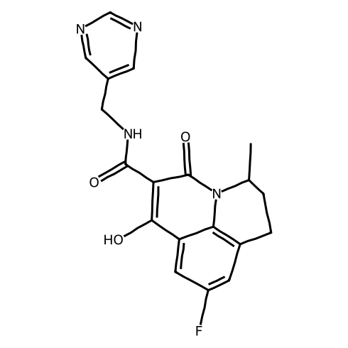 CC1CCc2cc(F)cc3c(O)c(C(=O)NCc4cncnc4)c(=O)n1c23